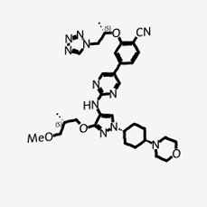 COC[C@H](C)COc1nn([C@H]2CC[C@H](N3CCOCC3)CC2)cc1Nc1ncc(-c2ccc(C#N)c(O[C@@H](C)Cn3cnnn3)c2)cn1